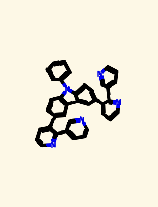 c1ccc(-n2c3ccc(-c4cccnc4-c4cccnc4)cc3c3cc(-c4cccnc4-c4cccnc4)ccc32)cc1